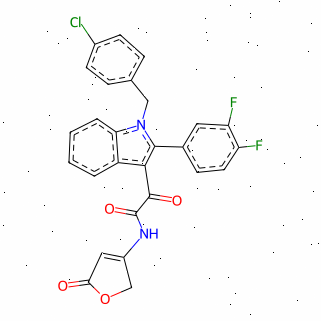 O=C1C=C(NC(=O)C(=O)c2c(-c3ccc(F)c(F)c3)n(Cc3ccc(Cl)cc3)c3ccccc23)CO1